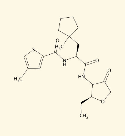 CC[C@@H]1OCC(=O)C1NC(=O)[C@H](CC1(C)CCCC1)NC(=O)c1cc(C)cs1